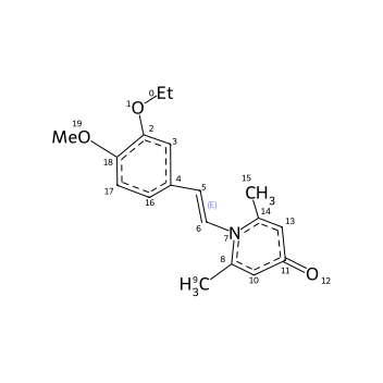 CCOc1cc(/C=C/n2c(C)cc(=O)cc2C)ccc1OC